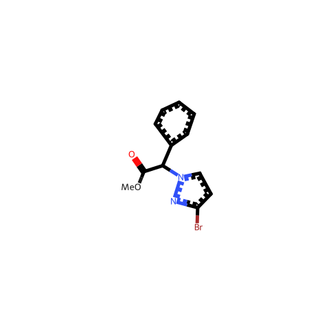 COC(=O)C(c1ccccc1)n1ccc(Br)n1